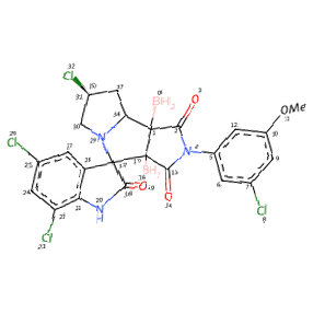 BC12C(=O)N(c3cc(Cl)cc(OC)c3)C(=O)C1(B)C1(C(=O)Nc3c(Cl)cc(Cl)cc31)N1C[C@@H](Cl)CC12